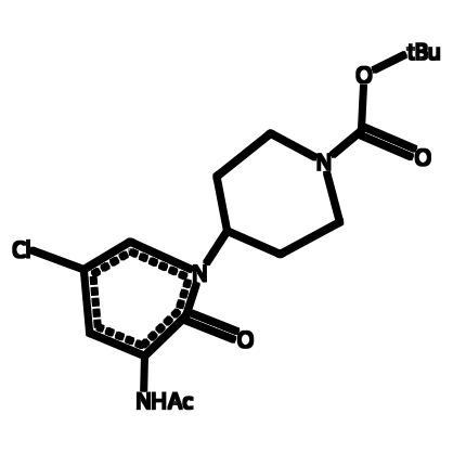 CC(=O)Nc1cc(Cl)cn(C2CCN(C(=O)OC(C)(C)C)CC2)c1=O